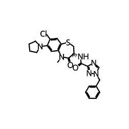 CN1C(=O)[C@@H](NC(=O)c2ncn(Cc3ccccc3)n2)CSc2cc(Cl)c(N3CCCC3)cc21